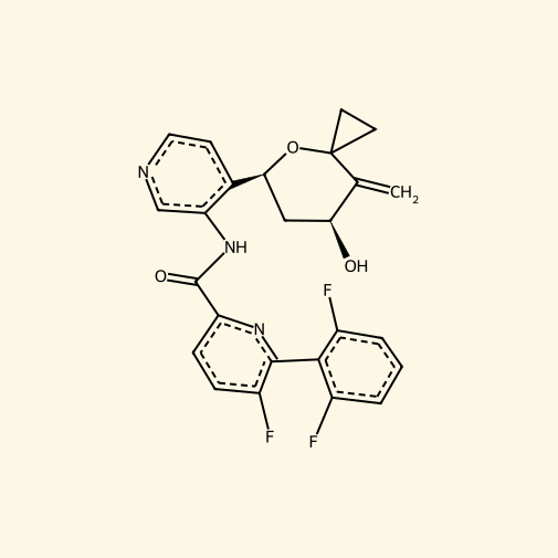 C=C1[C@@H](O)C[C@@H](c2ccncc2NC(=O)c2ccc(F)c(-c3c(F)cccc3F)n2)OC12CC2